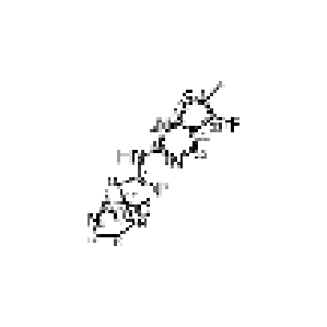 Cc1sc2nc(NC3=NOC4(C3)CN3CCC4CC3)ncc2c1F